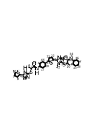 CC(Sc1nnc(-c2cccs2)[nH]1)C(=O)Nc1ccc(-c2ccc(-c3nnc(SC(C)C(=O)N(C)c4ccccc4)n3C)s2)cc1